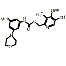 COc1c(C)cnc(COC(=O)Nc2cc(SC)cc(N3CCOCC3)c2)c1C